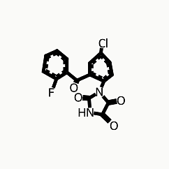 O=C1NC(=O)N(c2ccc(Cl)cc2C(=O)c2ccccc2F)C1=O